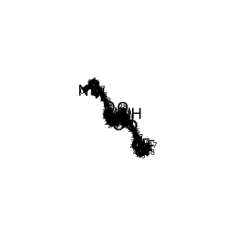 N#Cc1cccc2c1CCN(CCCCOc1ccc3ccc(=O)n(-c4cc(=O)[nH]c5nc(OCCCCN6CCc7cccc(C(F)(F)F)c7C6)ccc45)c3n1)C2